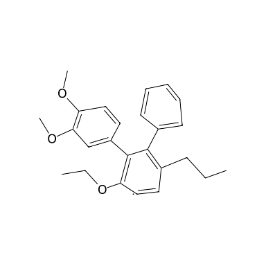 CCCc1c[c]c(OCC)c(-c2ccc(OC)c(OC)c2)c1-c1ccccc1